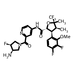 COc1c([C@H]2[C@H](C(=O)Nc3ccnc(C(=O)N4C[C@@H](N)[C@@H](F)C4)c3)O[C@@](C)(C(F)(F)F)[C@H]2C)ccc(F)c1F